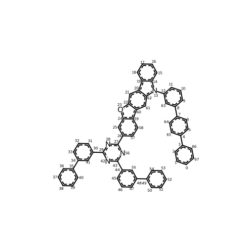 c1ccc(-c2ccc(-c3cccc(-n4c5ccccc5c5cc6oc7cc(-c8nc(-c9cccc(-c%10ccccc%10)c9)nc(-c9cccc(-c%10ccccc%10)c9)n8)ccc7c6cc54)c3)cc2)cc1